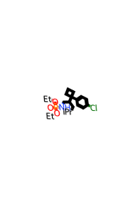 CCOP(=O)(NCC(CC(C)C)C1(c2ccc(Cl)cc2)CCC1)OCC